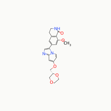 COc1cc(-c2cnc3cc(OC[C@H]4COCCO4)ccn23)cc2c1C(=O)NCC2